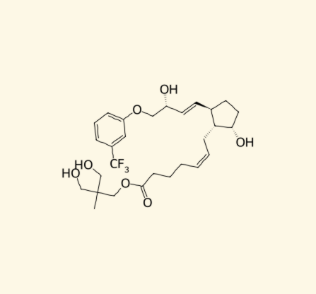 CC(CO)(CO)COC(=O)CCC/C=C\C[C@H]1[C@@H](O)CC[C@@H]1/C=C/[C@@H](O)COc1cccc(C(F)(F)F)c1